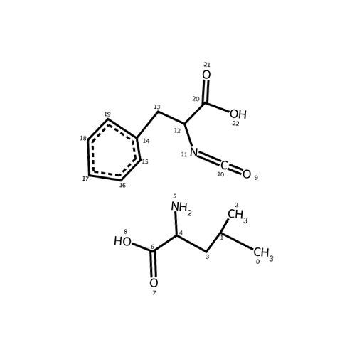 CC(C)CC(N)C(=O)O.O=C=NC(Cc1ccccc1)C(=O)O